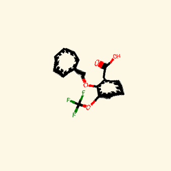 O=C(O)c1cccc(OC(F)(F)F)c1OCc1ccccc1